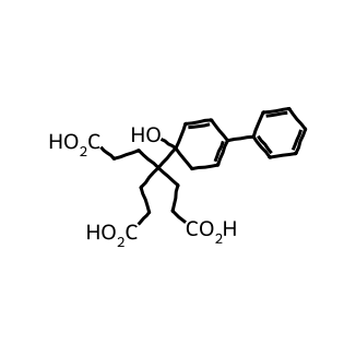 O=C(O)CCC(CCC(=O)O)(CCC(=O)O)C1(O)C=CC(c2ccccc2)=CC1